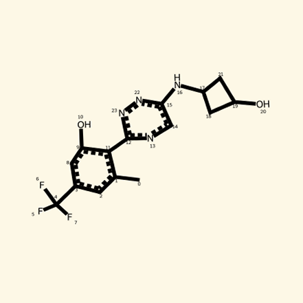 Cc1cc(C(F)(F)F)cc(O)c1-c1ncc(NC2CC(O)C2)nn1